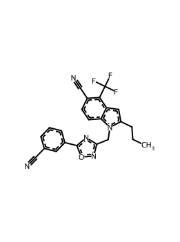 CCCc1cc2c(C(F)(F)F)c(C#N)ccc2n1Cc1noc(-c2cccc(C#N)c2)n1